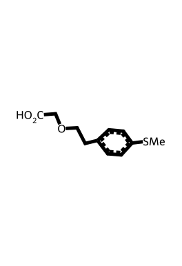 CSc1ccc(CCOCC(=O)O)cc1